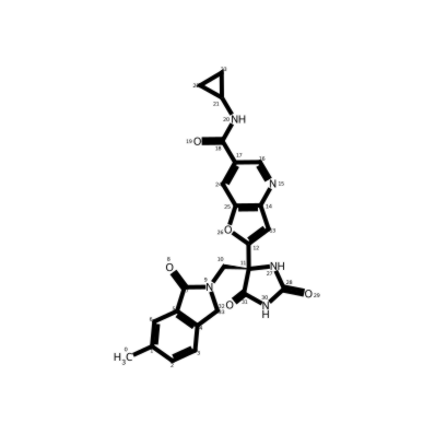 Cc1ccc2c(c1)C(=O)N(C[C@@]1(c3cc4ncc(C(=O)NC5CC5)cc4o3)NC(=O)NC1=O)C2